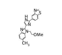 COCCn1c(-c2c[nH]c(-c3ccc4scnc4c3)n2)nc2ccc(C)cc21